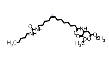 CCCCCNC(=O)NCCCC/C=C\CCCCCCC(=O)NC(CC(=O)OC)C(=O)OC